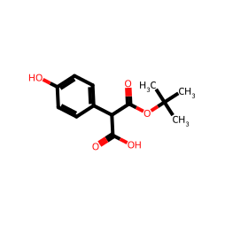 CC(C)(C)OC(=O)C(C(=O)O)c1ccc(O)cc1